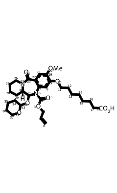 C=CCOC(=O)N1c2cc(OCCCCCCCC(=O)O)c(OC)cc2C(=O)N2CCCC[C@H]2C1OC1CCCCO1